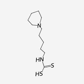 S=C(S)NCCCCCN1CCCCC1